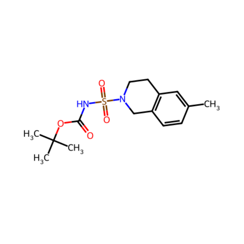 Cc1ccc2c(c1)CCN(S(=O)(=O)NC(=O)OC(C)(C)C)C2